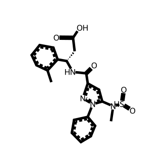 Cc1ccccc1[C@H](CC(=O)O)NC(=O)c1cc(N(C)[SH](=O)=O)n(-c2ccccc2)n1